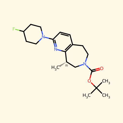 C[C@H]1CN(C(=O)OC(C)(C)C)CCc2ccc(N3CCC(F)CC3)nc21